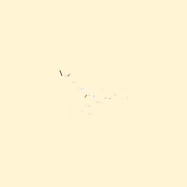 C=C(C)C(=O)OCCNC(=O)NC(CCC[Si](OC)(OC)OC)CC[Si](OC)(OC)OC